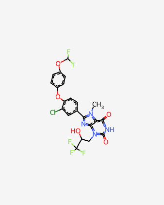 Cn1c(-c2ccc(Oc3ccc(OC(F)F)cc3)c(Cl)c2)nc2c1c(=O)[nH]c(=O)n2CC(O)C(F)(F)F